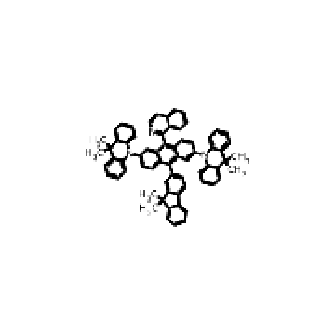 CC1(C)c2ccccc2-c2ccc(-c3c4cc(N5c6ccccc6C(C)(C)c6ccccc65)ccc4c(-c4nccc5ccccc45)c4cc(N5c6ccccc6C(C)(C)c6ccccc65)ccc34)cc21